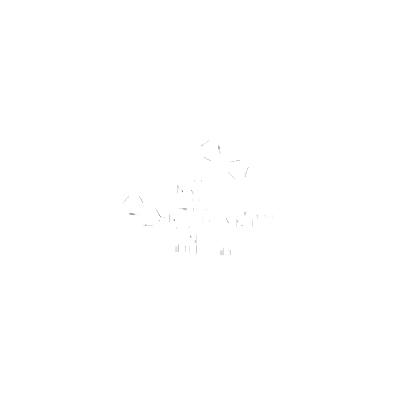 CCC(C)[C@@H](CO)NC(=O)CC(O)C(CC(C)C)NC(=O)[C@H](CC(C)C)NC(=O)[C@H](Cc1cccc2ccccc12)NC(=O)OCC1c2ccccc2-c2ccccc21